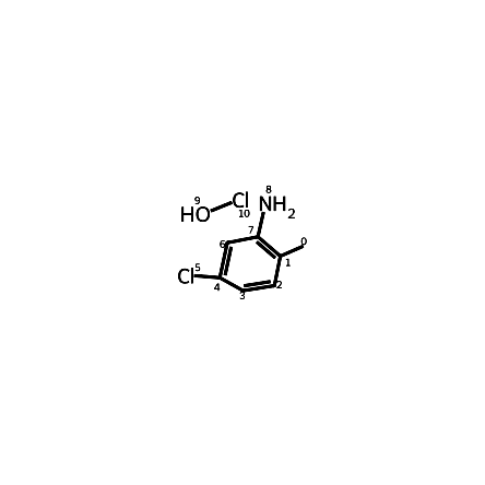 Cc1ccc(Cl)cc1N.OCl